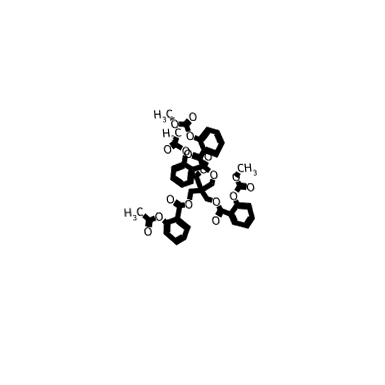 COC(=O)Oc1ccccc1C(=O)OCC(COC(=O)c1ccccc1OC(C)=O)(COC(=O)c1ccccc1OC(C)=O)COC(=O)c1ccccc1OC(=O)OC